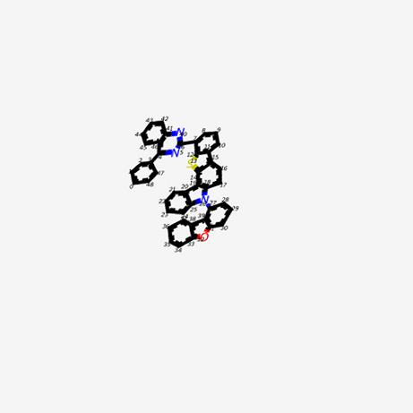 c1ccc(-c2nc(-c3cccc4c3sc3c4ccc4c3c3ccccc3n4-c3cccc4oc5ccccc5c34)nc3ccccc23)cc1